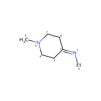 CCN=C1CCN(C)CC1